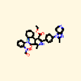 CCOC(=O)C1=C(c2ccc(-n3c(C)nc4cnccc43)cc2)NC(C)=C(C(=O)Nc2ccccc2N(O)C=O)C1c1ccccc1Cl